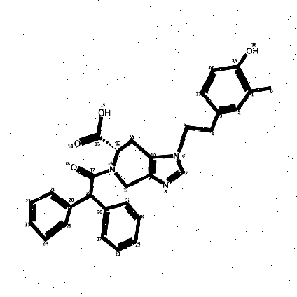 Cc1cc(CCn2cnc3c2C[C@@H](C(=O)O)N(C(=O)C(c2ccccc2)c2ccccc2)C3)ccc1O